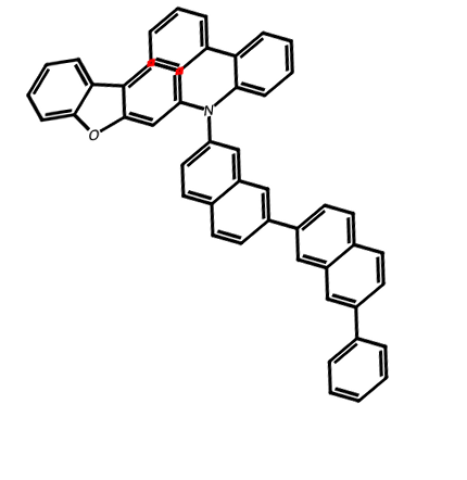 c1ccc(-c2ccc3ccc(-c4ccc5ccc(N(c6ccc7c(c6)oc6ccccc67)c6ccccc6-c6ccccc6)cc5c4)cc3c2)cc1